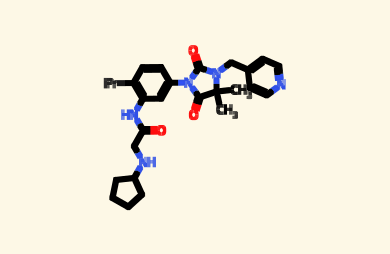 CC(C)c1ccc(N2C(=O)N(Cc3ccncc3)C(C)(C)C2=O)cc1NC(=O)CNC1CCCC1